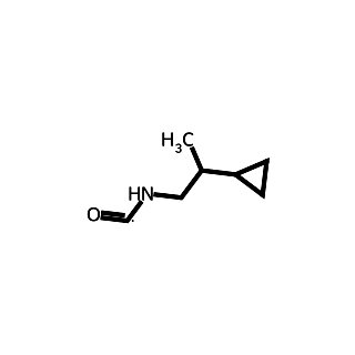 CC(CN[C]=O)C1CC1